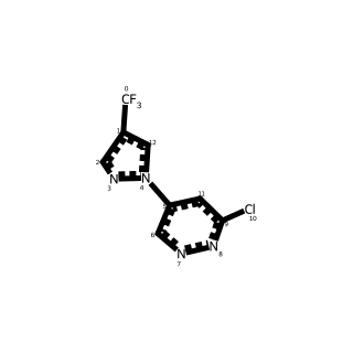 FC(F)(F)c1cnn(-c2cnnc(Cl)c2)c1